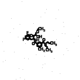 CCCN(CCC)C(=O)c1cc(C)cc(C(=O)N[C@@H](Cc2cc(F)cc(F)c2)[C@@H](O)C(O)COCC)c1